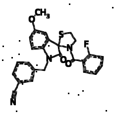 COc1ccc2c(c1)C1(SCCN1C(=O)c1ccccc1F)C(=O)N2Cc1cccc(C#N)c1